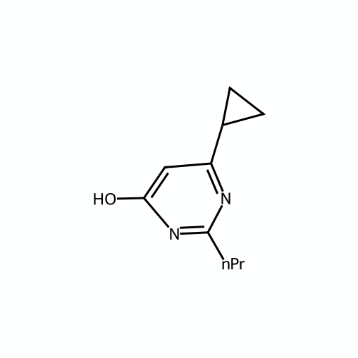 CCCc1nc(O)cc(C2CC2)n1